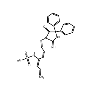 C=C\C=C(/C=C\C=C/N1C(=N)NC(c2ccccc2)(c2ccccc2)C1=O)NS(=O)(=O)CCC